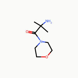 CC(C)(N)C(=O)N1CCOCC1